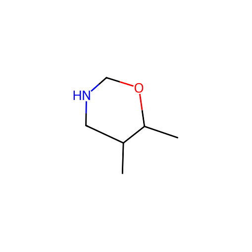 CC1CNCOC1C